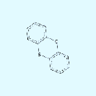 c1ccc2c(c1)Oc1ncccc1S2